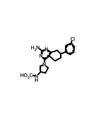 Nc1nc2c(c(N3CCC(NC(=O)O)C3)n1)CCC(c1cccc(Cl)c1)C2